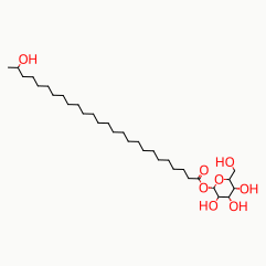 CC(O)CCCCCCCCCCCCCCCCCCCCCCCC(=O)O[C@H]1OC(CO)[C@@H](O)[C@@H](O)C1O